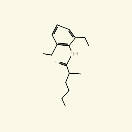 [CH2]CCCC(Cl)C(=O)Nc1c(CC)cccc1CC